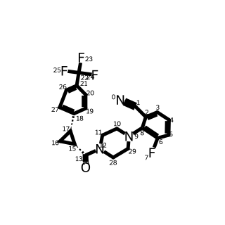 N#Cc1cccc(F)c1N1CCN(C(=O)[C@@H]2C[C@@H]2c2ccc(C(F)(F)F)cc2)CC1